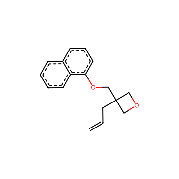 C=CCC1(COc2cccc3ccccc23)COC1